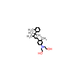 C=C(/C=C/c1ccc(N(CCO)CCO)cc1C)C(C)(C)c1ccccc1C